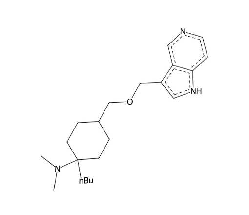 CCCCC1(N(C)C)CCC(COCc2c[nH]c3ccncc23)CC1